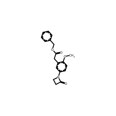 COc1ccc(N2CCC2=O)cc1CC(=O)OCc1ccccc1